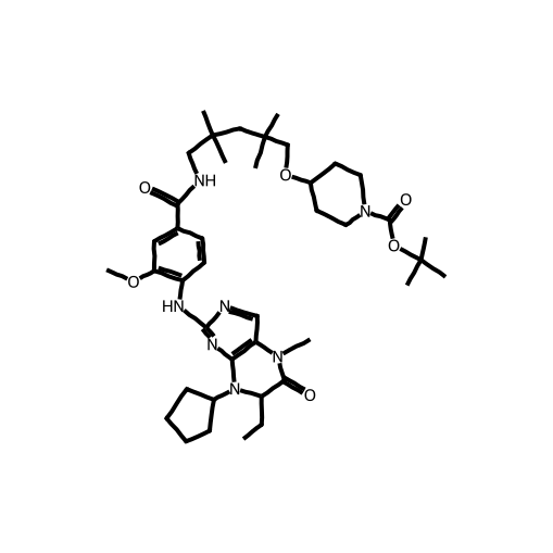 CCC1C(=O)N(C)c2cnc(Nc3ccc(C(=O)NCC(C)(C)CC(C)(C)COC4CCN(C(=O)OC(C)(C)C)CC4)cc3OC)nc2N1C1CCCC1